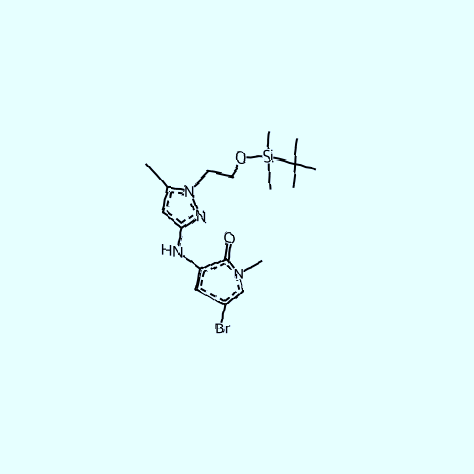 Cc1cc(Nc2cc(Br)cn(C)c2=O)nn1CCO[Si](C)(C)C(C)(C)C